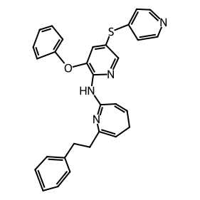 C1=CC(Nc2ncc(Sc3ccncc3)cc2Oc2ccccc2)=NC(CCc2ccccc2)=CC1